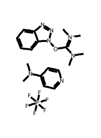 CN(C)C(On1nnc2ccccc21)=[N+](C)C.CN(C)c1ccncc1.F[P-](F)(F)(F)(F)F